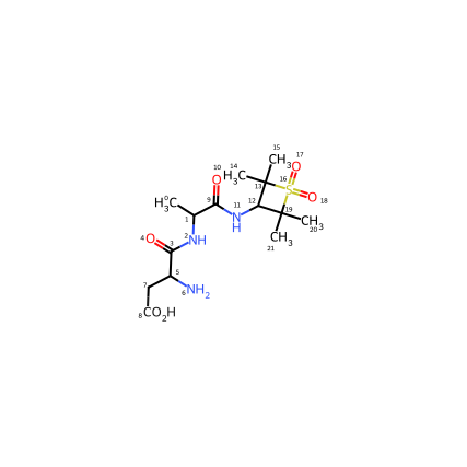 CC(NC(=O)C(N)CC(=O)O)C(=O)NC1C(C)(C)S(=O)(=O)C1(C)C